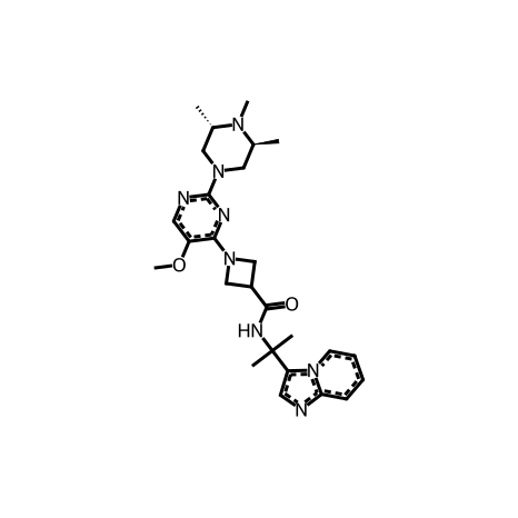 COc1cnc(N2C[C@H](C)N(C)[C@@H](C)C2)nc1N1CC(C(=O)NC(C)(C)c2cnc3ccccn23)C1